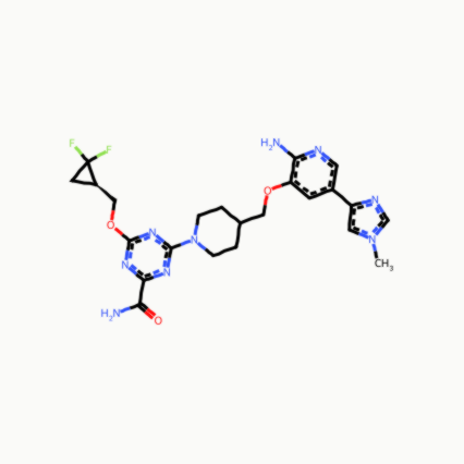 Cn1cnc(-c2cnc(N)c(OCC3CCN(c4nc(OC[C@H]5CC5(F)F)nc(C(N)=O)n4)CC3)c2)c1